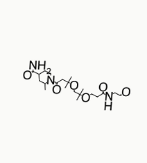 CC1CC(C(N)=O)CCN1C(=O)CC(C)(C)OCC(C)(C)OCCC(=O)NCC=O